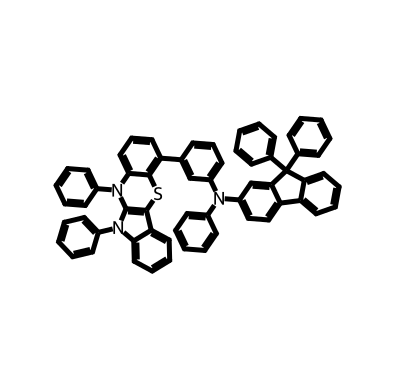 c1ccc(N(c2cccc(-c3cccc4c3Sc3c(n(-c5ccccc5)c5ccccc35)N4c3ccccc3)c2)c2ccc3c(c2)C(c2ccccc2)(c2ccccc2)c2ccccc2-3)cc1